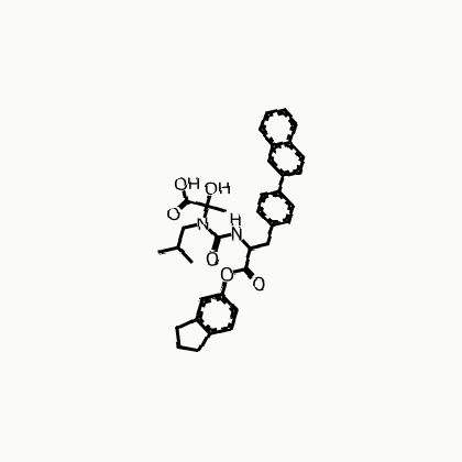 CC(C)CN(C(=O)NC(Cc1ccc(-c2ccc3ccccc3c2)cc1)C(=O)Oc1ccc2c(c1)CCC2)C(C)(O)C(=O)O